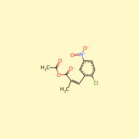 CC(=O)OC(=O)C(C)=Cc1cc([N+](=O)[O-])ccc1Cl